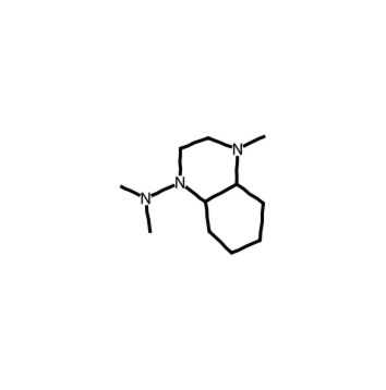 CN1CCN(N(C)C)C2CCCCC21